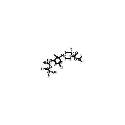 Cc1c(CN2CCN(C(=O)OC(C)C)[C@@H](C)C2)cc(Cl)cc1NC(=N)OC(=N)[C@H](C)O